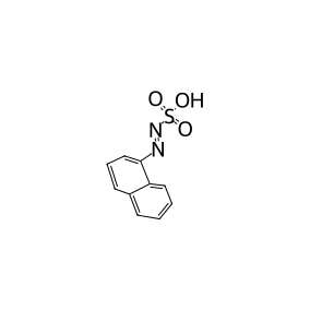 O=S(=O)(O)/N=N/c1cccc2ccccc12